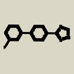 Fc1cccc(-c2ccc(-c3ncon3)cc2)c1